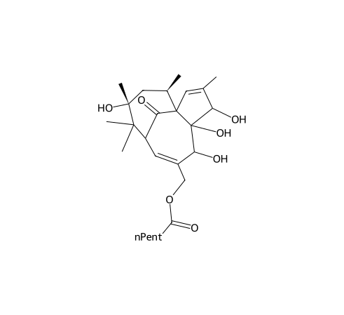 CCCCCC(=O)OCC1=CC2C(=O)C3(C=C(C)C(O)C3(O)C1O)[C@H](C)C[C@@](C)(O)C2(C)C